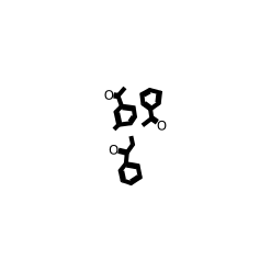 CC(=O)c1cccc(C)c1.CC(=O)c1ccccc1.CCC(=O)c1ccccc1